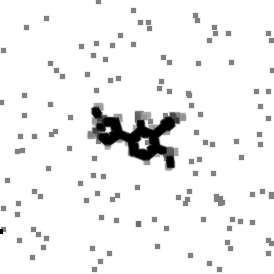 COc1ccc(-c2cnn(C)c2)c(F)c1C#N